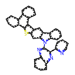 c1ccc(-c2nc3ccccc3nc2-n2c3ccccc3c3cc4c(cc32)sc2c3ccccc3c3ccccc3c42)nc1